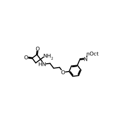 CCCCCCCCN=Cc1cccc(OCCCNC2(N)CC(=O)C2=O)c1